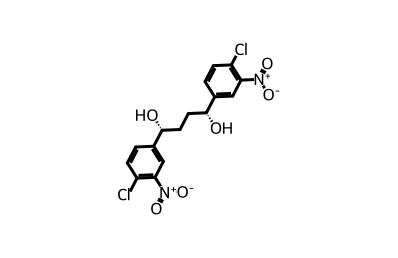 O=[N+]([O-])c1cc([C@H](O)CC[C@@H](O)c2ccc(Cl)c([N+](=O)[O-])c2)ccc1Cl